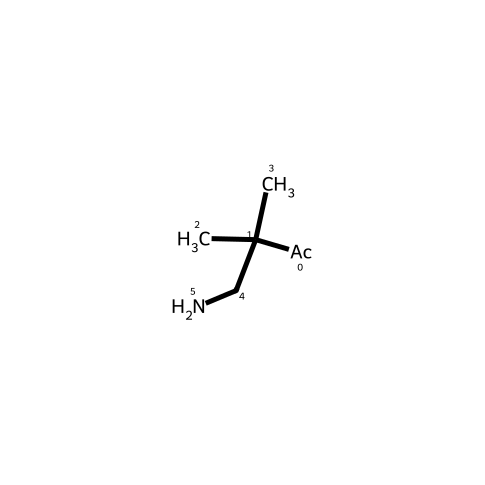 CC(=O)C(C)(C)CN